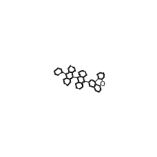 c1ccc(-c2c3ccccc3c(-c3c4ccccc4c(-c4cc5c6c(cccc6c4)Oc4ccccc4-5)c4ccccc34)c3ccccc23)cc1